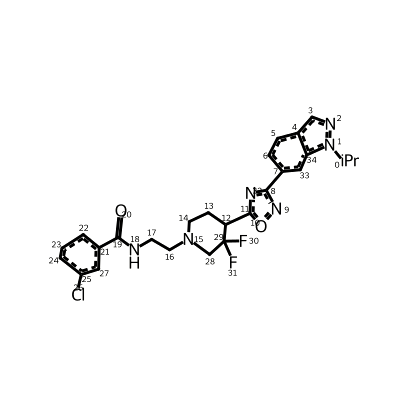 CC(C)n1ncc2ccc(-c3noc(C4CCN(CCNC(=O)c5cccc(Cl)c5)CC4(F)F)n3)cc21